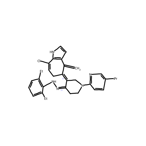 C=C1/C(=C2\CN(c3ccc(C(C)C)cn3)CC\C2=N\Nc2c(CC)cccc2CC)CC=C(Cl)c2[nH]ccc21